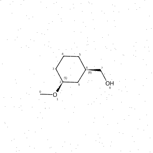 CO[C@H]1CCC[C@@H](CO)C1